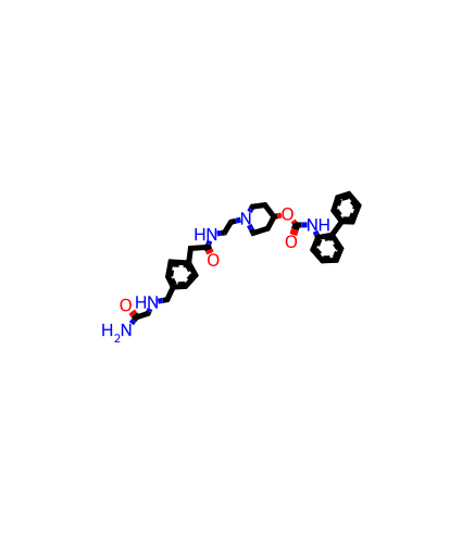 NC(=O)CNCc1ccc(CC(=O)NCCN2CCC(OC(=O)Nc3ccccc3-c3ccccc3)CC2)cc1